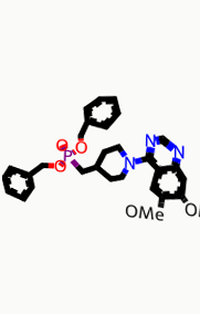 COc1cc2ncnc(N3CCC(CP(=O)(OCc4ccccc4)OCc4ccccc4)CC3)c2cc1OC